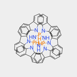 c1ccc2c(c1)c1ccccc1n2[PH]1(n2c3ccccc3c3ccccc32)N[PH](n2c3ccccc3c3ccccc32)(n2c3ccccc3c3ccccc32)N[PH](n2c3ccccc3c3ccccc32)(n2c3ccccc3c3ccccc32)N1